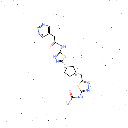 CC(=O)Nc1nnc(C[C@@H]2CC[C@H](c3nnc(NC(=O)Cc4cncnc4)s3)C2)s1